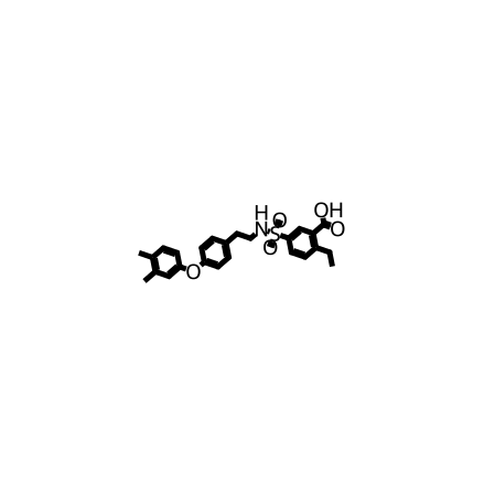 CCc1ccc(S(=O)(=O)NCCc2ccc(Oc3ccc(C)c(C)c3)cc2)cc1C(=O)O